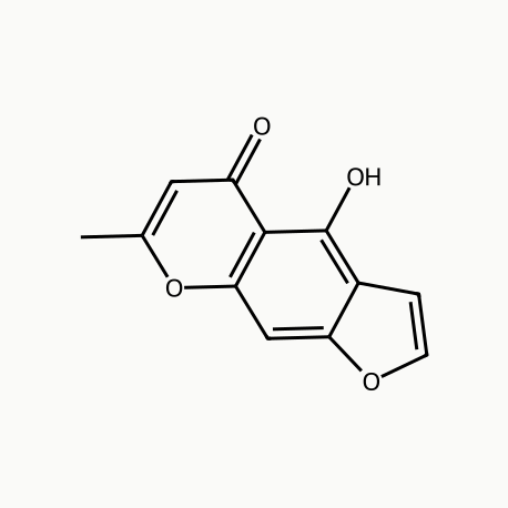 Cc1cc(=O)c2c(O)c3ccoc3cc2o1